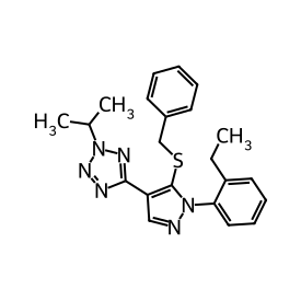 CCc1ccccc1-n1ncc(-c2nnn(C(C)C)n2)c1SCc1ccccc1